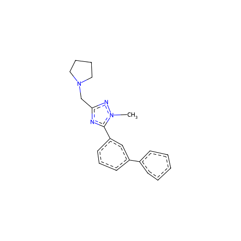 Cn1nc(CN2CCCC2)nc1-c1cccc(-c2ccccc2)c1